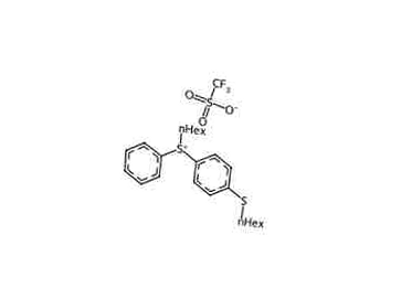 CCCCCCSc1ccc([S+](CCCCCC)c2ccccc2)cc1.O=S(=O)([O-])C(F)(F)F